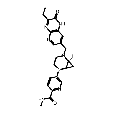 CCc1nc2ncc(CN3CCN(c4ccc(C(=O)NC)nc4)C4C[C@@H]43)cc2[nH]c1=O